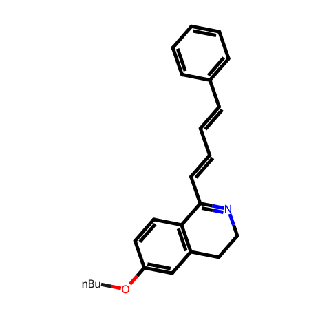 CCCCOc1ccc2c(c1)CCN=C2C=CC=Cc1ccccc1